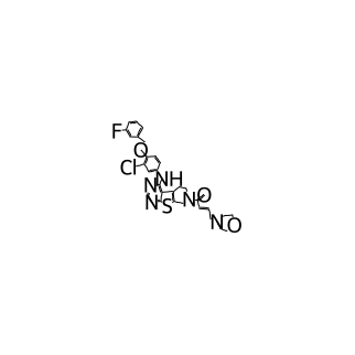 O=C(C=CCN1CCOCC1)N1CCc2c(sc3ncnc(Nc4ccc(OCc5cccc(F)c5)c(Cl)c4)c23)C1